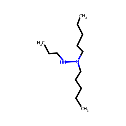 CCCCCN(CCCCC)NCCC